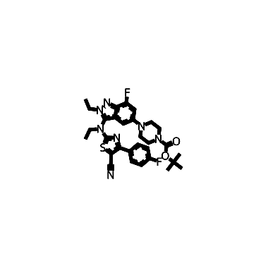 CCN(c1nc(-c2ccc(F)cc2)c(C#N)s1)c1c2cc(N3CCN(C(=O)OC(C)(C)C)CC3)cc(F)c2nn1CC